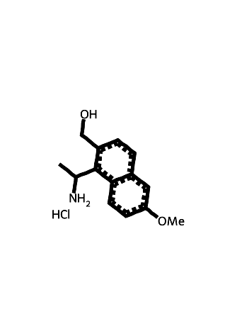 COc1ccc2c(C(C)N)c(CO)ccc2c1.Cl